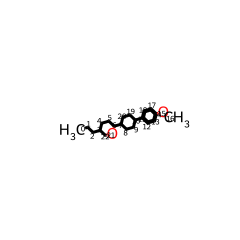 CCCC1CCC(C2CCC(c3ccc(OC)cc3)CC2)OC1